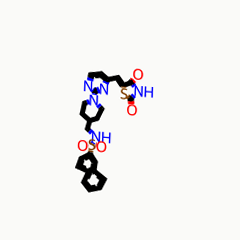 O=C1NC(=O)C(=Cc2ccnc(N3CCC(CNS(=O)(=O)c4ccc5ccccc5c4)CC3)n2)S1